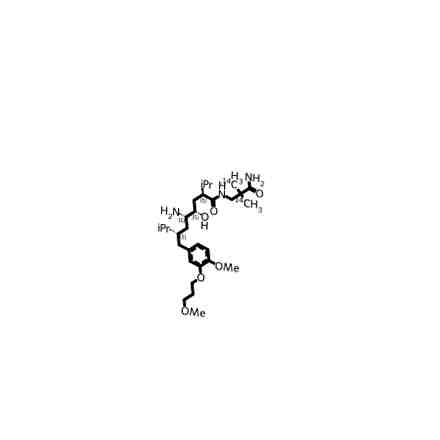 COCCCOc1cc(C[C@@H](C[C@H](N)[C@@H](O)C[C@H](C(=O)NCC([14CH3])([14CH3])C(N)=O)C(C)C)C(C)C)ccc1OC